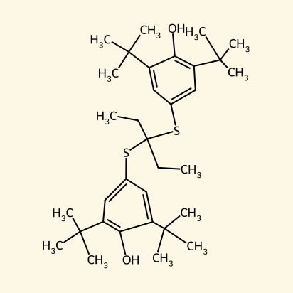 CCC(CC)(Sc1cc(C(C)(C)C)c(O)c(C(C)(C)C)c1)Sc1cc(C(C)(C)C)c(O)c(C(C)(C)C)c1